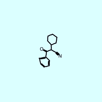 N#CC(C(=O)c1ccccc1)C1CCCCC1